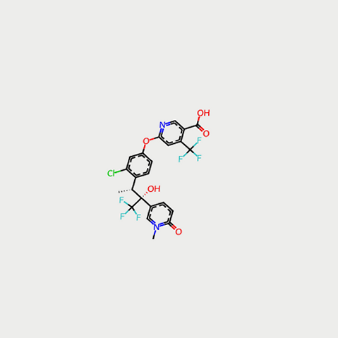 C[C@H](c1ccc(Oc2cc(C(F)(F)F)c(C(=O)O)cn2)cc1Cl)[C@@](O)(c1ccc(=O)n(C)c1)C(F)(F)F